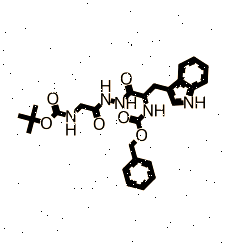 CC(C)(C)OC(=O)NCC(=O)NNC(=O)C(Cc1c[nH]c2ccccc12)NC(=O)OCc1ccccc1